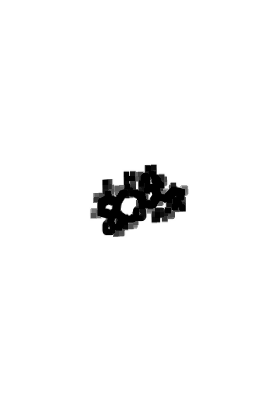 CC(C)n1nccc1-c1cc2c(n3cnnc13)NCc1c(F)ccc3c1[C@@H](CO3)CO2